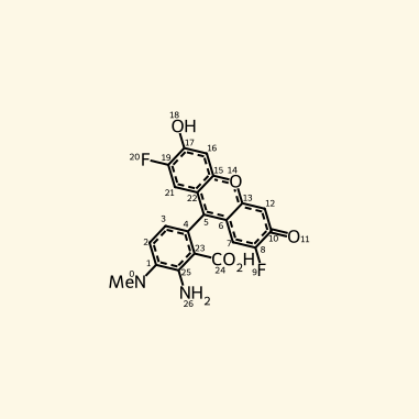 CNc1ccc(-c2c3cc(F)c(=O)cc-3oc3cc(O)c(F)cc23)c(C(=O)O)c1N